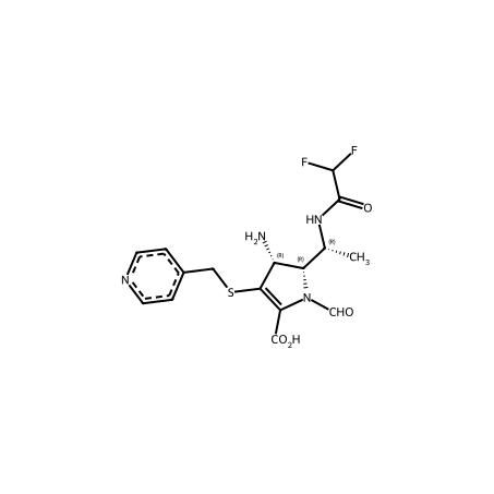 C[C@@H](NC(=O)C(F)F)[C@H]1[C@@H](N)C(SCc2ccncc2)=C(C(=O)O)N1C=O